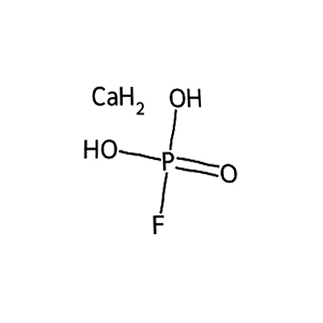 O=P(O)(O)F.[CaH2]